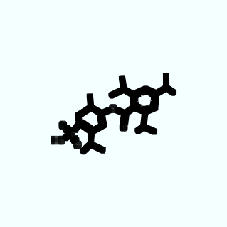 CC(C)C1=C(S(=O)(=O)O)CC(C)C(OC(=O)c2c(C(C)C)cc(C(C)C)cc2C(C)C)=C1